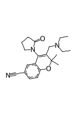 CCN(CC)CC1=C(N2CCCC2=O)c2cc(C#N)ccc2OC1(C)C